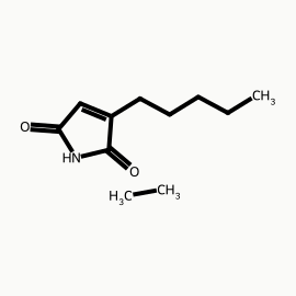 CC.CCCCCC1=CC(=O)NC1=O